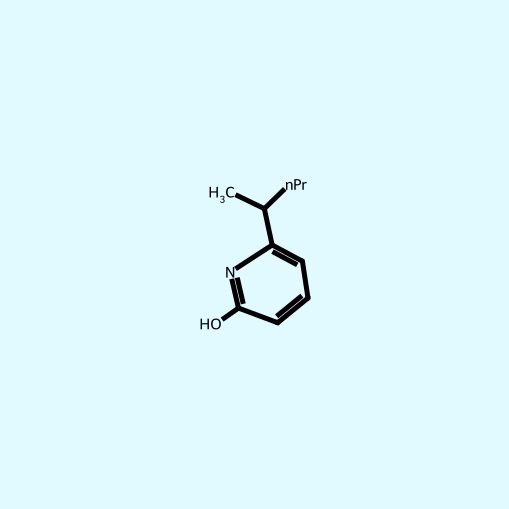 CCCC(C)c1cccc(O)n1